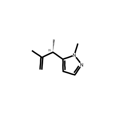 C=C(C)[C@H](C)c1ccnn1C